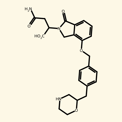 NC(=O)CC(C(=O)O)N1Cc2c(OCc3ccc(CC4CNCCO4)cc3)cccc2C1=O